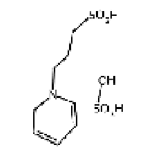 O=S(=O)(O)CCCN1C=CC=CC1.O=S(=O)(O)O